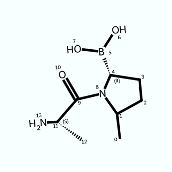 CC1CC[C@@H](B(O)O)N1C(=O)[C@H](C)N